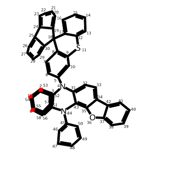 c1ccc(N(c2ccc3c(c2)Sc2ccccc2C32c3ccccc3-c3ccccc32)c2ccc3c(oc4ccccc43)c2N(c2ccccc2)c2ccccc2)cc1